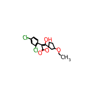 CCOC1CCC2(C1)OC(=O)C(c1ccc(Cl)cc1Cl)=C2O